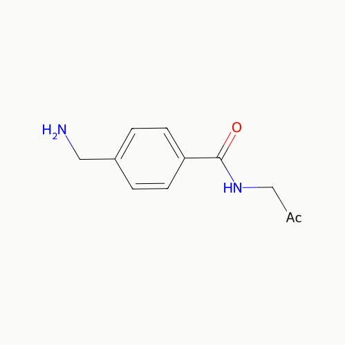 CC(=O)CNC(=O)c1ccc(CN)cc1